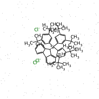 CC(C)(C)c1cc(C(C)(C)C)cc([Si](c2cc(C(C)(C)C)cc(C(C)(C)C)c2)(c2cc(C(C)(C)C)cc(C(C)(C)C)c2)C2c3ccccc3-c3ccc[c]([Ti+3])c32)c1.[Cl-].[Cl-].[Cl-]